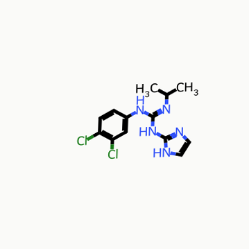 CC(C)/N=C(\Nc1ccc(Cl)c(Cl)c1)Nc1ncc[nH]1